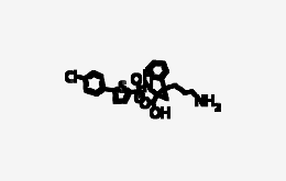 NCCCC1(c2ccccc2)CC1(NS(=O)(=O)c1ccc(-c2ccc(Cl)cc2)s1)C(=O)O